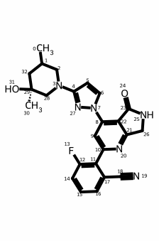 CC1CN(c2ccn(-c3cc(-c4c(F)cccc4C#N)nc4c3C(=O)NC4)n2)C[C@@](C)(O)C1